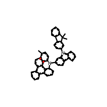 Cc1ccc(N(c2ccc3c4ccccc4n(-c4ccc5c(c4)C(C)(C)c4ccccc4-5)c3c2)c2cccc3c4ccccc4c4ccccc4c23)cc1